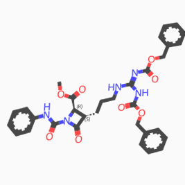 COC(=O)[C@H]1[C@H](CCCNC(=NC(=O)OCc2ccccc2)NC(=O)OCc2ccccc2)C(=O)N1C(=O)Nc1ccccc1